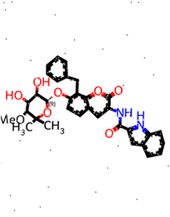 COC1C(O)C(O)[C@H](Oc2ccc3cc(NC(=O)c4cc5ccccc5[nH]4)c(=O)oc3c2Cc2ccccc2)OC1(C)C